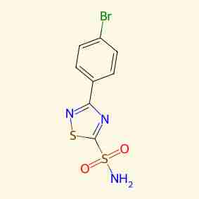 NS(=O)(=O)c1nc(-c2ccc(Br)cc2)ns1